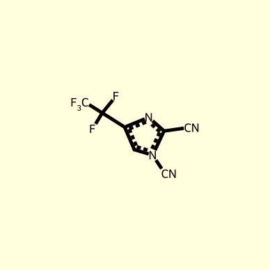 N#Cc1nc(C(F)(F)C(F)(F)F)cn1C#N